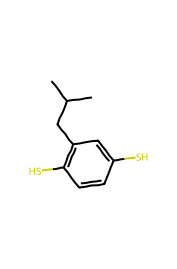 CC(C)Cc1cc(S)ccc1S